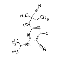 CCC(C)(C#N)Nc1nc(Cl)c(C#N)c(NC(C)C)n1